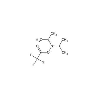 CC(C)N(OC(=O)C(F)(F)F)C(C)C